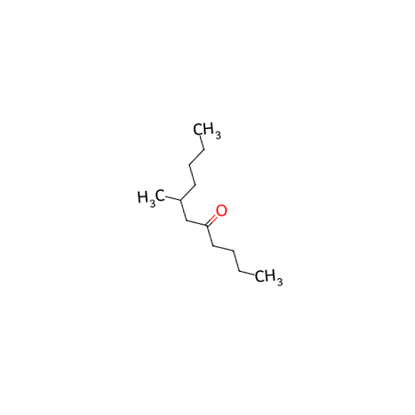 CCCCC(=O)CC(C)CCCC